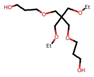 CCOCC(COCC)(COCCCO)COCCCO